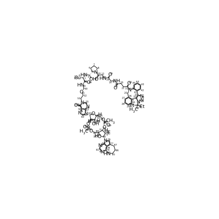 CC[C@H](C)[C@H](NC(O)[C@@H]1CCCN1C(=O)CNC(=O)CNC(=O)CCC(=O)N1Cc2ccccc2-c2c(nnn2C(C)(CC)CC)-c2ccccc21)C(=O)NCOCCn1cnc2c(ncn2[C@@H]2O[C@@H]3COP(C)(=O)O[C@H]4[C@@H](F)[C@H](n5cc6c7c(ncnc75)NCCC6)O[C@@H]4COP(C)(=O)O[C@@H]2[C@@H]3O)c1=O